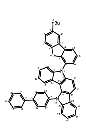 CCCCc1ccc2oc3c(-n4c5ccccc5c5c4ccc4c6ccccc6n(-c6ccc(-c7ccccc7)cc6)c45)cccc3c2c1